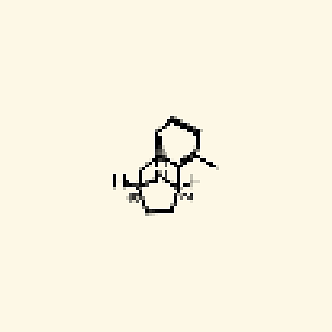 Cc1cccc2c1[C@@H]1CC[C@H](C2)N1